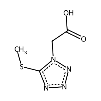 CSc1nnnn1CC(=O)O